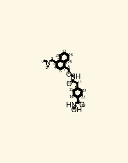 CN(C)Cc1ccc(CONC(=O)Cc2ccc(C(=O)NO)cc2)c2ccccc12